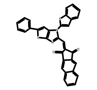 O=C1C(=Cc2nc3sc(-c4ccccc4)cc3n2-c2cc3ccccc3s2)C(=O)c2cc3ccccc3cc21